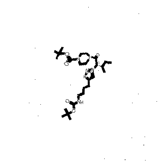 CCC(C)[C@@H](C(=O)N1CCN(C(=O)OC(C)(C)C)CC1)n1cc(CCCCNC(=O)OC(C)(C)C)nn1